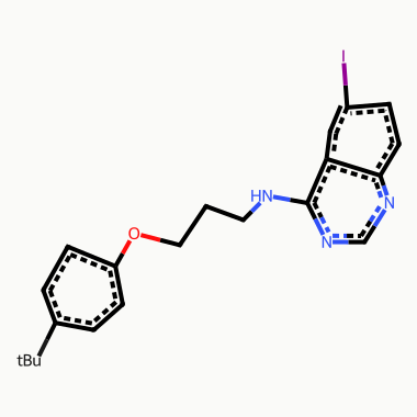 CC(C)(C)c1ccc(OCCCNc2ncnc3ccc(I)cc23)cc1